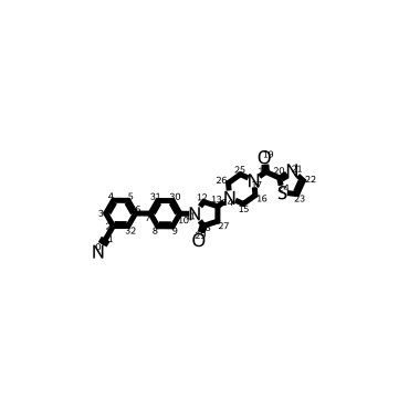 N#Cc1cccc(-c2ccc(N3CC(N4CCN(C(=O)c5nccs5)CC4)CC3=O)cc2)c1